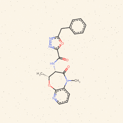 C[C@H]1Oc2ncccc2N(C)C(=O)[C@H]1NC(=O)c1nnc(Cc2ccccc2)o1